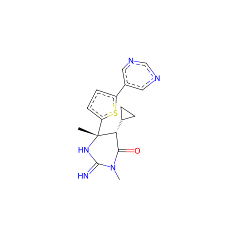 CN1C(=N)N[C@](C)(c2ccc(-c3cncnc3)s2)[C@H](C2CC2)C1=O